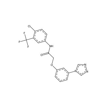 O=C(COc1cccc(-n2cnnc2)c1)Nc1ccc(Cl)c(C(F)(F)F)c1